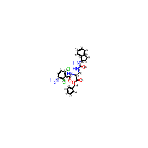 Nc1ccc(Cl)c(C(=O)N[C@@H](CNC(=O)N[C@@H]2CCc3ccccc32)C(=O)OCc2ccccc2)c1Cl